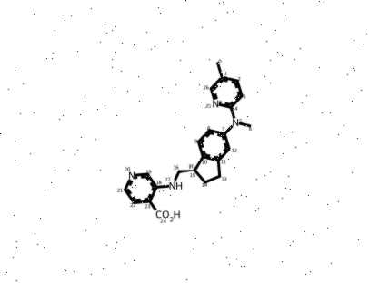 Cc1ccc(N(C)c2ccc3c(c2)CC[C@H]3CNc2cnccc2C(=O)O)nc1